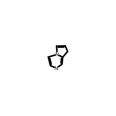 C1=CN2C=C[N]C=C2C1